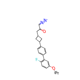 CC(C)Oc1ccc(F)c(-c2ccc(C3CC(CC(=O)C=[N+]=[N-])C3)cc2)c1